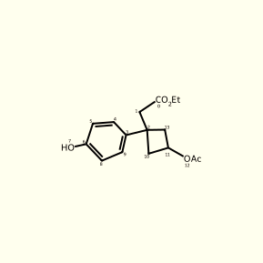 CCOC(=O)CC1(c2ccc(O)cc2)CC(OC(C)=O)C1